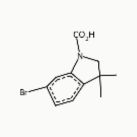 CC1(C)CN(C(=O)O)c2cc(Br)ccc21